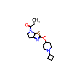 CCC(=O)N1CCc2nc(OC3CCN(C4CCC4)CC3)sc21